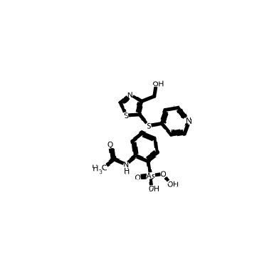 CC(=O)Nc1ccccc1[As](=O)(O)OO.OCc1ncsc1Sc1ccncc1